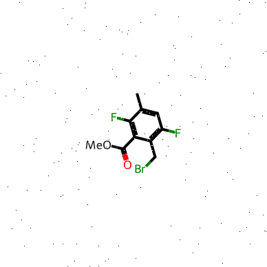 COC(=O)c1c(F)c(C)cc(F)c1CBr